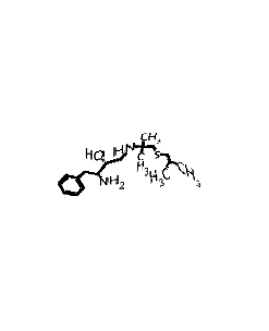 CC(C)CSCC(C)(C)NC[C@@H](O)[C@@H](N)Cc1ccccc1